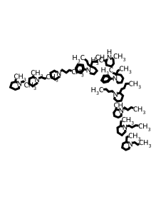 CC1CCCC(C)N1.CCC1(CC)CCCCN1c1ccccc1.CCCC1(CCC)CCCCN1c1ccccc1.CCCCC1CCCCN1CCCC.CCCCN1CCCCC1.CCCCN1CCCCC1C.CCCCN1CCCCC1CC.CCCN1CCCCC1C.CCCN1CCCCC1CC.CCN1CCCCC1C